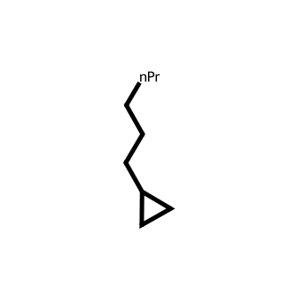 C[CH]CCCCC1CC1